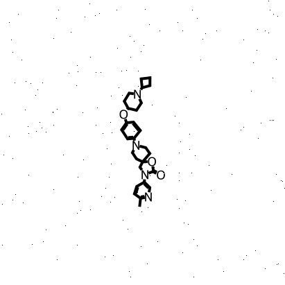 Cc1ccc(N2CC3(CCN(c4ccc(OC5CCN(C6CCC6)CC5)cc4)CC3)OC2=O)cn1